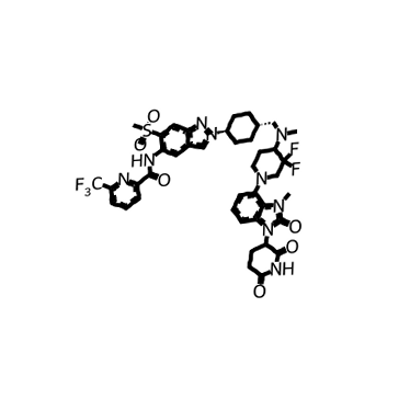 CN(C[C@H]1CC[C@H](n2cc3cc(NC(=O)c4cccc(C(F)(F)F)n4)c(S(C)(=O)=O)cc3n2)CC1)C1CCN(c2cccc3c2n(C)c(=O)n3C2CCC(=O)NC2=O)CC1(F)F